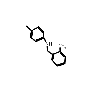 Cc1ccc(NCc2ccccc2C(F)(F)F)cc1